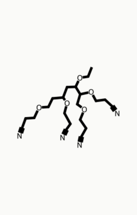 CCOC(CC(CCOCCC#N)OCCC#N)C(COCCC#N)OCCC#N